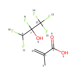 C=C(C)C(=O)O.OC(F)(C(F)F)C(F)(F)F